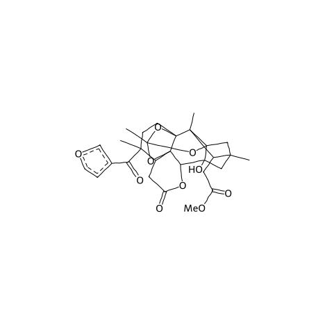 COC(=O)CC1C2(C)CC3(O)C4OC(=O)CC5C(C)(C(=O)c6ccoc6)CCC67OC(C)(OC546)OC3(C2)C17C